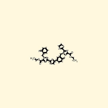 CCOC(=O)c1nc(-c2nccs2)n(Cc2cc(-c3cnc(-c4nc(C(=O)OCC)n(Cc5ccccc5F)n4)s3)ccc2F)n1